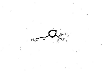 CCOc1cccc(S(C)(=O)=NC)c1